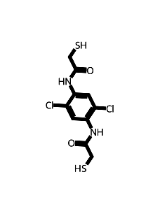 O=C(CS)Nc1cc(Cl)c(NC(=O)CS)cc1Cl